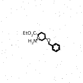 CCOC(=O)[C@@H]1CC[C@@H](OCc2ccccc2)CN1N